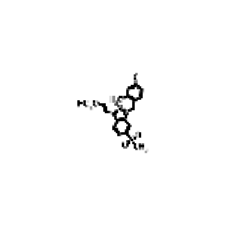 Cc1cc(Cl)ccc1Cn1nc(C=CC(=O)O)c2ccc(S(C)(=O)=O)cc21